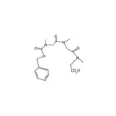 CN(CC(=O)O)C(=O)CN(C)C(=O)CN(C)C(=O)OCc1ccccc1